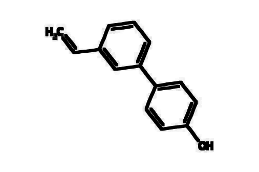 C=Cc1cccc(-c2ccc(O)cc2)c1